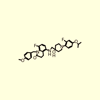 COc1ccc(CN2C(=O)CCc3c(NCC4(O)CCN(c5ccc(OC(C)C)cc5F)CC4)ccc(F)c32)cc1